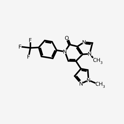 Cn1cc(-c2cn(-c3ccc(C(F)(F)F)cc3)c(=O)c3ncn(C)c23)cn1